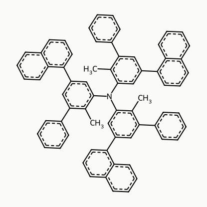 Cc1c(-c2ccccc2)cc(-c2cccc3ccccc23)cc1N(c1cc(-c2cccc3ccccc23)cc(-c2ccccc2)c1C)c1cc(-c2cccc3ccccc23)cc(-c2ccccc2)c1C